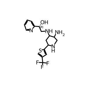 NC1CNC(c2cc(C(F)(F)F)cs2)CC1NC[C@@H](O)c1ccccn1